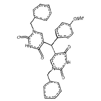 COc1ccc(C(c2cn(Cc3ccccc3)c(=O)[nH]c2=O)c2cn(Cc3ccccc3)c(=O)[nH]c2=O)cc1